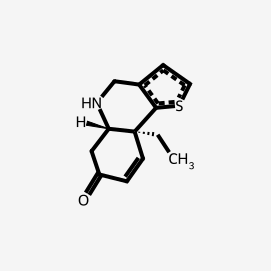 CC[C@]12C=CC(=O)C[C@@H]1NCc1ccsc12